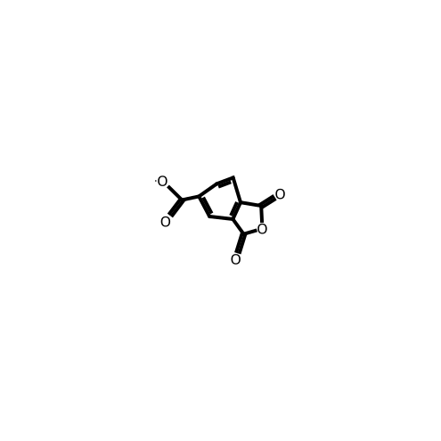 [O]C(=O)c1ccc2c(c1)C(=O)OC2=O